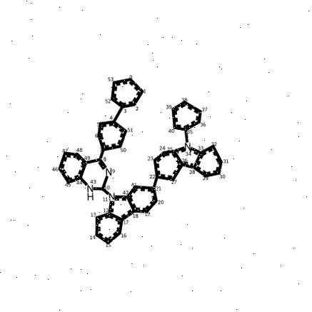 c1ccc(-c2ccc(C3=NC(n4c5ccccc5c5ccc(-c6ccc7c(c6)c6ccccc6n7-c6ccccc6)cc54)Nc4ccccc43)cc2)cc1